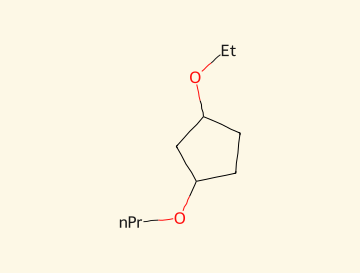 CCCOC1CCC(OCC)C1